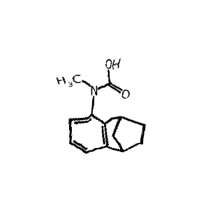 CN(C(=O)O)c1cccc2c1C1CCC2C1